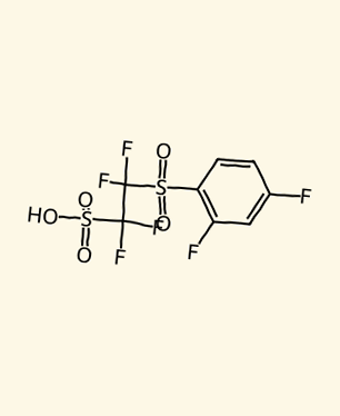 O=S(=O)(O)C(F)(F)C(F)(F)S(=O)(=O)c1ccc(F)cc1F